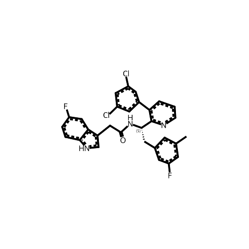 Cc1cc(F)cc(C[C@H](NC(=O)Cc2c[nH]c3ccc(F)cc23)c2ncccc2-c2cc(Cl)cc(Cl)c2)c1